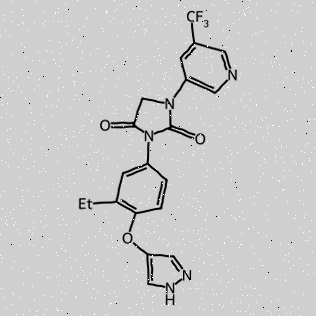 CCc1cc(N2C(=O)CN(c3cncc(C(F)(F)F)c3)C2=O)ccc1Oc1cn[nH]c1